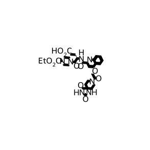 CCOC(=O)N1CCN(C(=O)[C@H](CCC(=O)O)NC(=O)c2cc(OCC(=O)N3CCC4(CC3)NC(=O)NC4=O)c3ccccc3n2)CC1